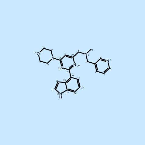 CN(Cc1cccnc1)Cc1cc(N2CCOCC2)nc(-c2cccc3[nH]ccc23)n1